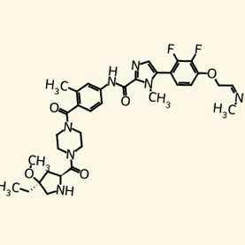 CC[C@@]1(OC)CN[C@H](C(=O)N2CCN(C(=O)c3ccc(NC(=O)c4ncc(-c5ccc(OC/C=N\C)c(F)c5F)n4C)cc3C)CC2)C1